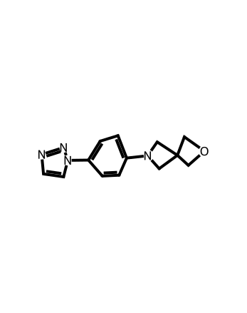 c1cn(-c2ccc(N3CC4(COC4)C3)cc2)nn1